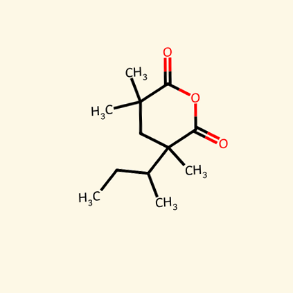 CCC(C)C1(C)CC(C)(C)C(=O)OC1=O